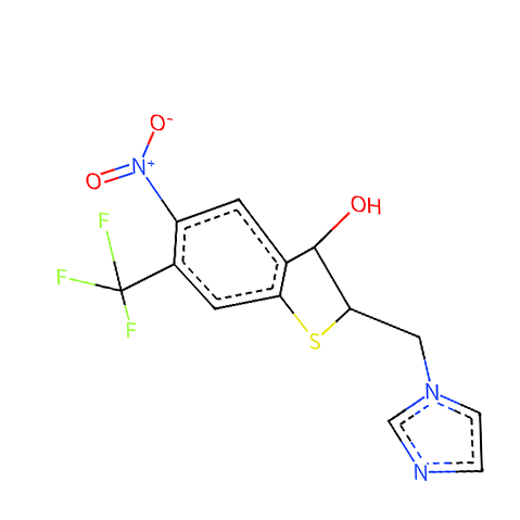 O=[N+]([O-])c1cc2c(cc1C(F)(F)F)SC(Cn1ccnc1)C2O